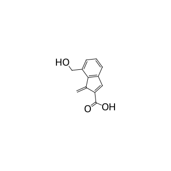 C=C1C(C(=O)O)=Cc2cccc(CO)c21